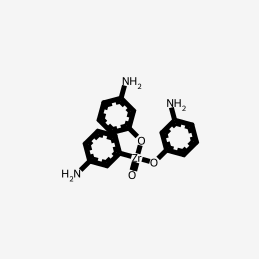 Nc1cccc([O][Zr](=[O])([O]c2cccc(N)c2)[c]2cccc(N)c2)c1